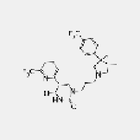 CC12CN(CCCn3cc(-c4cccc(C(F)(F)F)n4)c(=O)[nH]c3=O)CC1(c1ccc(C(F)(F)F)cc1)C2